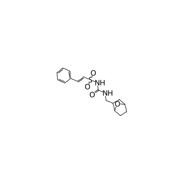 O=C(NCC1CC2CCC1O2)NS(=O)(=O)C=Cc1ccccc1